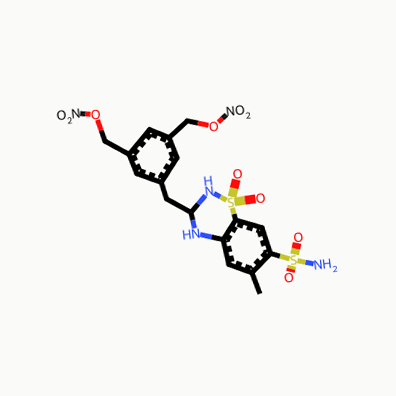 Cc1cc2c(cc1S(N)(=O)=O)S(=O)(=O)NC(Cc1cc(CO[N+](=O)[O-])cc(CO[N+](=O)[O-])c1)N2